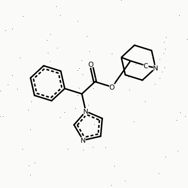 O=C(OC1CN2CCC1CC2)C(c1ccccc1)n1ccnc1